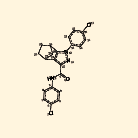 O=C(Nc1ccc(Cl)cc1)c1nn(-c2ccc(Cl)cc2)c2c1C1CCC2C1